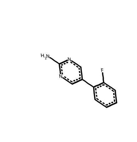 Nc1ncc(-c2ccccc2F)cn1